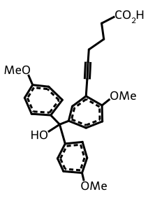 COc1ccc(C(O)(c2ccc(OC)cc2)c2ccc(OC)c(C#CCCCC(=O)O)c2)cc1